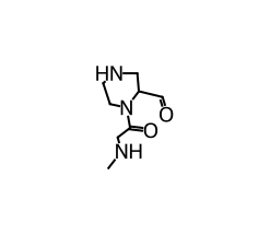 CNCC(=O)N1CCNCC1C=O